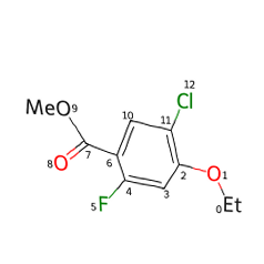 CCOc1cc(F)c(C(=O)OC)cc1Cl